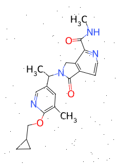 CNC(=O)c1nccc2c1CN(C(C)c1cnc(OCC3CC3)c(C)c1)C2=O